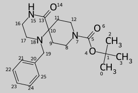 CC(C)(C)OC(=O)N1CCC2(CC1)C(=O)NCCN2Cc1ccccc1